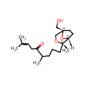 CC(C)=CCC(=O)C(C)CCC[C@]1(C)OC[C@]2(CO)CC[C@H]1O2